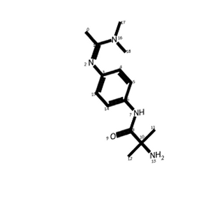 CC(=Nc1ccc(NC(=O)C(C)(C)N)cc1)N(C)C